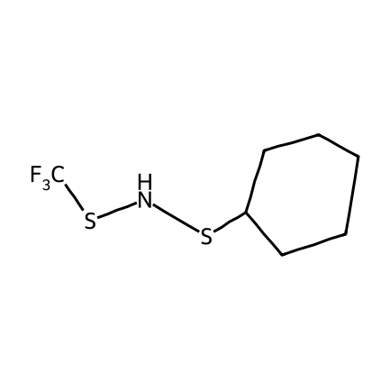 FC(F)(F)SNSC1CCCCC1